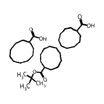 CC(C)(C)OC(=O)C1CCCCCCCCC1.O=C(O)C1CCCCCCCCC1.O=C(O)C1CCCCCCCCC1